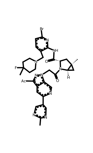 CC(=O)c1nn(CC(=O)N2[C@H](C(=O)Nc3nc(Br)ccc3CN3CCC(C)(F)CC3)C[C@@]3(C)C[C@@H]23)c2cnc(-c3cnc(C)nc3)cc12